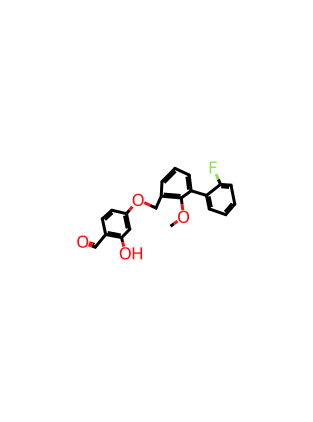 COc1c(COc2ccc(C=O)c(O)c2)cccc1-c1ccccc1F